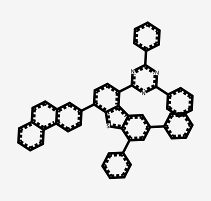 c1ccc(-c2cc(-c3ccccc3)c3sc4c(-c5ccc6c(ccc7ccccc76)c5)ccc(-c5nc(-c6ccccc6)nc(-c6ccccc6)n5)c4c3c2)cc1